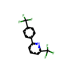 FC(F)(F)c1ccc(-c2cccc(C(F)(F)F)n2)cc1